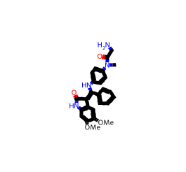 COc1cc2c(cc1OC)/C(=C(/Nc1ccc(N(C)C(=O)CN)cc1)c1ccccc1)C(=O)N2